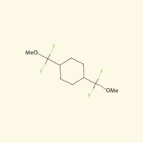 COC(F)(F)C1CCC(C(F)(F)OC)CC1